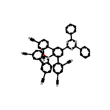 N#Cc1ccc(-c2cc(-c3nc(-c4ccccc4)nc(-c4ccccc4)n3)cc(-c3ccc(C#N)cc3C#N)c2-n2c3ccc(C#N)cc3c3cc(C#N)ccc32)c(C#N)c1